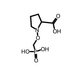 O=C(O)C1CCCN1OCP(=O)(O)O